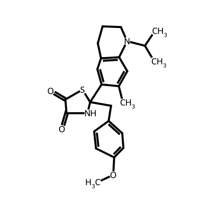 COc1ccc(CC2(c3cc4c(cc3C)N(C(C)C)CCC4)NC(=O)C(=O)S2)cc1